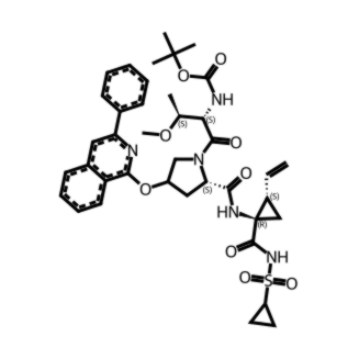 C=C[C@@H]1C[C@]1(NC(=O)[C@@H]1CC(Oc2nc(-c3ccccc3)cc3ccccc23)CN1C(=O)[C@@H](NC(=O)OC(C)(C)C)[C@H](C)OC)C(=O)NS(=O)(=O)C1CC1